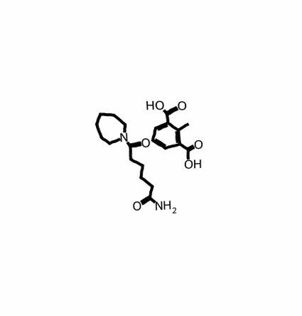 Cc1c(C(=O)O)cccc1C(=O)O.NC(=O)CCCCC(=O)N1CCCCCC1